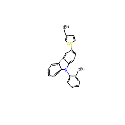 CC(C)(C)C1=C[SH](c2ccc3c(c2)c2ccccc2n3-c2ccccc2C(C)(C)C)C=C1